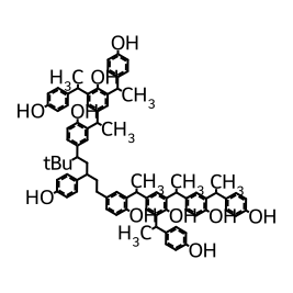 CC(c1cc(C(C)c2ccc(O)cc2)c(O)c(C(C)c2ccc(O)c(C(C)c3ccc(O)cc3)c2)c1)c1cc(CCC(CC(c2ccc(O)c(C(C)c3cc(C(C)c4ccc(O)cc4)c(O)c(C(C)c4ccc(O)cc4)c3)c2)C(C)(C)C)c2ccc(O)cc2)ccc1O